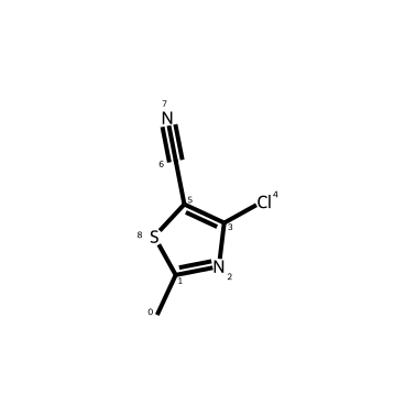 Cc1nc(Cl)c(C#N)s1